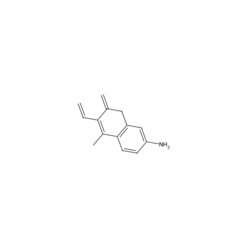 C=CC1=C(C)c2ccc(N)cc2CC1=C